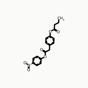 CCCC(=O)Oc1ccc(CC(=O)Oc2ccc([N+](=O)[O-])cc2)cc1